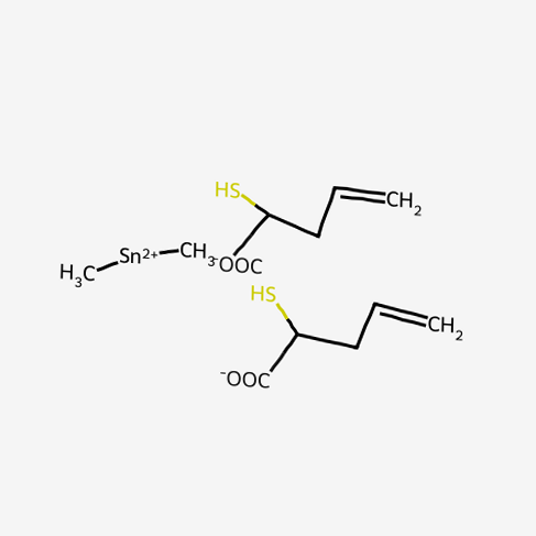 C=CCC(S)C(=O)[O-].C=CCC(S)C(=O)[O-].[CH3][Sn+2][CH3]